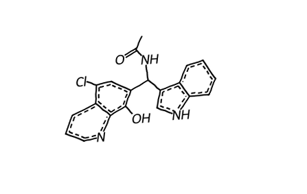 CC(=O)NC(c1cc(Cl)c2cccnc2c1O)c1c[nH]c2ccccc12